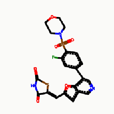 O=C1NC(=O)C(=Cc2cc3cncc(-c4ccc(S(=O)(=O)N5CCOCC5)c(F)c4)c3o2)S1